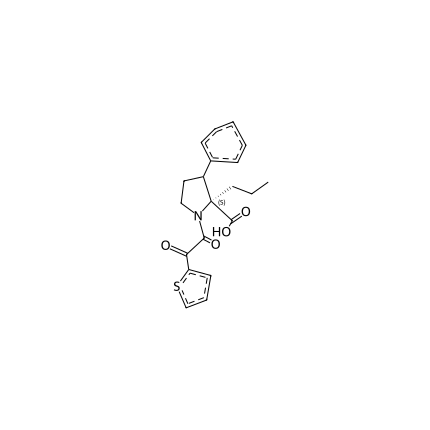 CCC[C@@]1(C(=O)O)C(c2ccccc2)CCN1C(=O)C(=O)c1cccs1